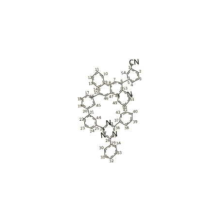 N#Cc1cccc(-c2cc3c4ccccc4c(-c4cccc(-c5cccc(-c6nc(-c7ccccc7)nc(-c7ccccc7)n6)c5)c4)cc3c3cccnc23)c1